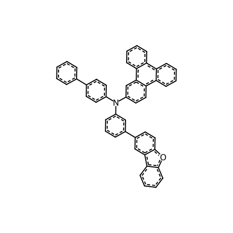 c1ccc(-c2ccc(N(c3cccc(-c4ccc5oc6ccccc6c5c4)c3)c3ccc4c5ccccc5c5ccccc5c4c3)cc2)cc1